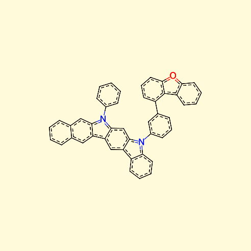 c1ccc(-n2c3cc4ccccc4cc3c3cc4c5ccccc5n(-c5cccc(-c6cccc7oc8ccccc8c67)c5)c4cc32)cc1